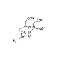 CC/C(=C/C(=O)[O-])C(=O)[O-].CC/C(=C/C(=O)[O-])C(=O)[O-].[CH3][SnH2+4][CH3]